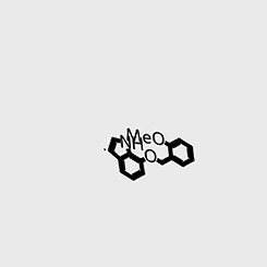 COc1ccccc1COc1cccc2[c]c[nH]c12